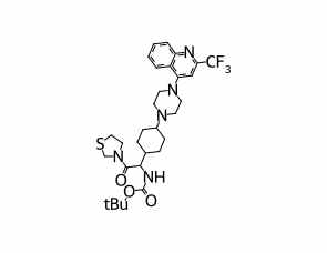 CC(C)(C)OC(=O)NC(C(=O)N1CCSC1)C1CCC(N2CCN(c3cc(C(F)(F)F)nc4ccccc34)CC2)CC1